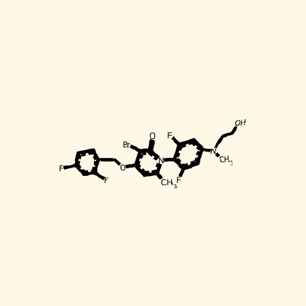 Cc1cc(OCc2ccc(F)cc2F)c(Br)c(=O)n1-c1c(F)cc(N(C)CCO)cc1F